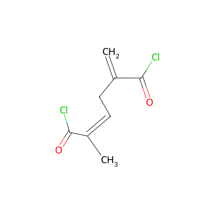 C=C(CC=C(C)C(=O)Cl)C(=O)Cl